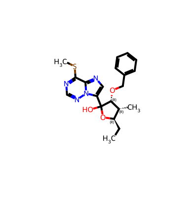 CC[C@H]1OC(O)(c2cnc3c(SC)ncnn23)[C@H](OCc2ccccc2)[C@@H]1C